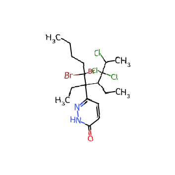 CCCCC(Br)(Br)C(CC)(c1ccc(=O)[nH]n1)C(CC)C(Cl)(Cl)C(C)Cl